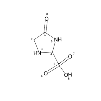 O=C1CNC(S(=O)(=O)O)N1